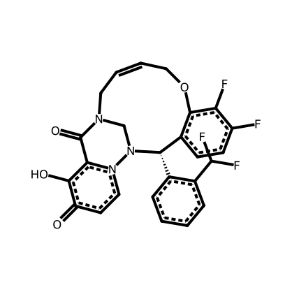 O=C1c2c(O)c(=O)ccn2N2CN1C/C=C\COc1c(ccc(F)c1F)[C@@H]2c1ccccc1C(F)F